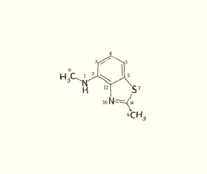 CNc1cccc2sc(C)nc12